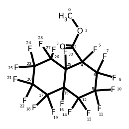 COC(=O)C1(F)C(F)(F)C(F)(F)C(F)(F)C2(F)C(F)(F)C(F)(F)C(F)(F)C(F)(F)C12F